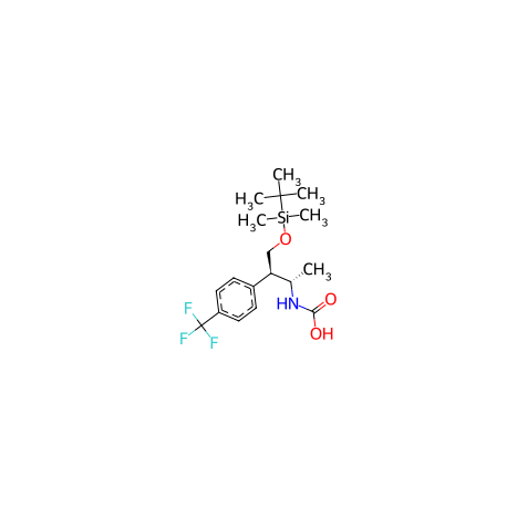 C[C@H](NC(=O)O)[C@H](CO[Si](C)(C)C(C)(C)C)c1ccc(C(F)(F)F)cc1